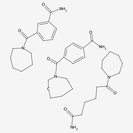 NC(=O)CCCCC(=O)N1CCCCCC1.NC(=O)c1ccc(C(=O)N2CCCCCC2)cc1.NC(=O)c1cccc(C(=O)N2CCCCCC2)c1